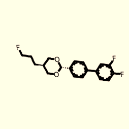 FCCC[C@H]1CO[C@H](c2ccc(-c3ccc(F)c(F)c3)cc2)OC1